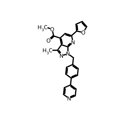 COC(=O)c1cc(-c2ccco2)nc2c1c(C)nn2Cc1ccc(-c2ccncc2)cc1